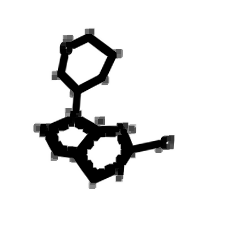 Clc1ncc2cnn(C3CCCOC3)c2n1